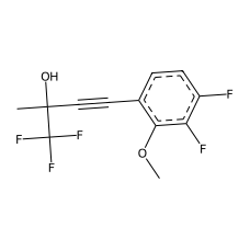 COc1c(C#CC(C)(O)C(F)(F)F)ccc(F)c1F